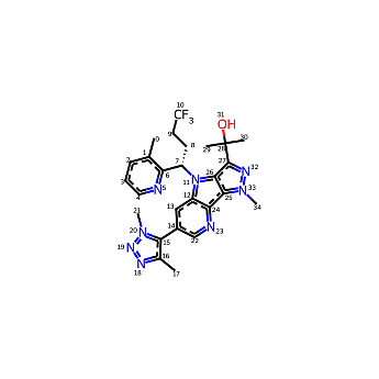 Cc1cccnc1[C@H](CCC(F)(F)F)n1c2cc(-c3c(C)nnn3C)cnc2c2c1c(C(C)(C)O)nn2C